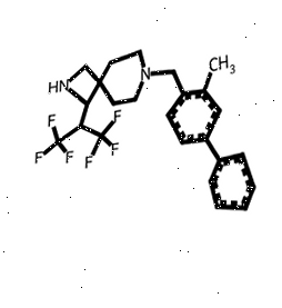 Cc1cc(-c2ccccc2)ccc1CN1CCC2(CC1)CNC2C(C(F)(F)F)C(F)(F)F